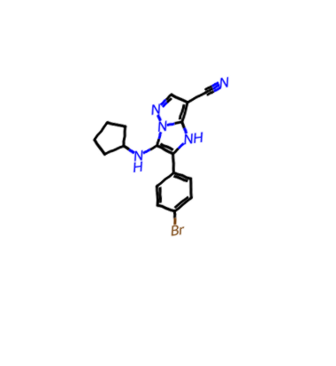 N#Cc1cnn2c(NC3CCCC3)c(-c3ccc(Br)cc3)[nH]c12